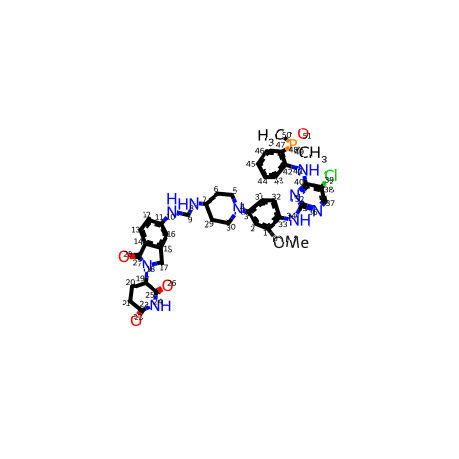 COc1cc(N2CCC(NCNc3ccc4c(c3)CN(C3CCC(=O)NC3=O)C4=O)CC2)ccc1Nc1ncc(Cl)c(Nc2ccccc2P(C)(C)=O)n1